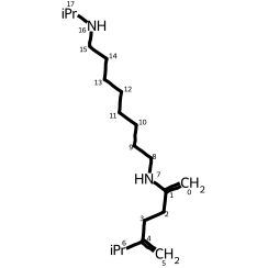 C=C(CCC(=C)C(C)C)NCCCCCCCCNC(C)C